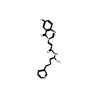 CC(CCCc1cccnc1)NC(=O)/C=C/n1cnc2ccc(Cl)cc2c1=O